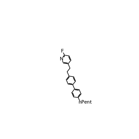 CCCCCc1ccc(-c2ccc(CCc3ccc(F)nc3)cc2)cc1